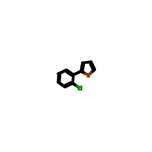 Clc1cc[c]cc1-c1cccs1